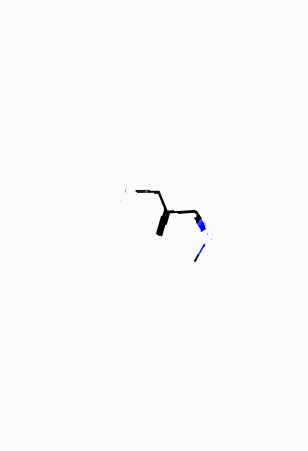 C=C(/C=N\C)CC(=O)O